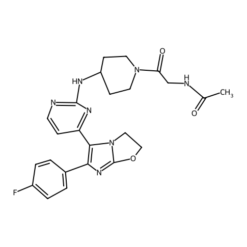 CC(=O)NCC(=O)N1CCC(Nc2nccc(-c3c(-c4ccc(F)cc4)nc4n3CCO4)n2)CC1